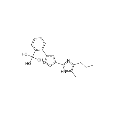 CCCc1nc(-c2coc(-c3ccccc3C(O)(O)O)c2)[nH]c1C